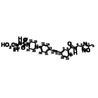 Cc1nc(CNC(=O)c2cc(C#Cc3ccc(N4CCN(S(=O)(=O)N[C@@H](C(=O)O)C(C)C)CC4)cc3)ccn2)no1